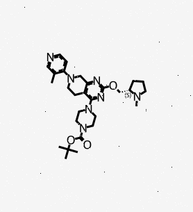 Cc1cnccc1N1CCc2c(nc(OC[C@@H]3CCCN3C)nc2N2CCN(C(=O)OC(C)(C)C)CC2)C1